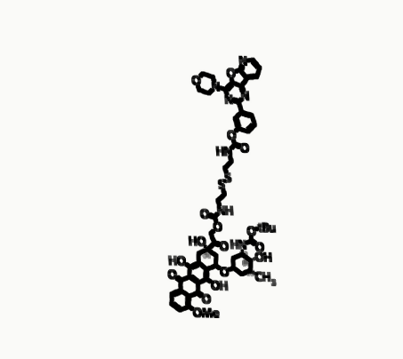 COc1cccc2c1C(=O)c1c(O)c3c(c(O)c1C2=O)C[C@@](O)(C(=O)COC(=O)NCCSSCCNC(=O)Oc1cccc(-c2nc(N4CCOCC4)c4oc5ncccc5c4n2)c1)CC3OC1C[C@@H](C)[C@@H](O)[C@@H](NC(=O)OC(C)(C)C)C1